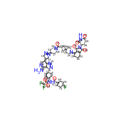 C[C@H](Oc1cc(-c2nn(C)c3c(-c4cnn(C5CCN(C(=O)C6CC7(CCN(c8cccc9c8C(=O)N(C8CCC(=O)NC8=O)C9=O)CC7)C6)CC5)c4)cnc(N)c23)ccc1NS(=O)(=O)C(F)F)c1ccc(F)cc1